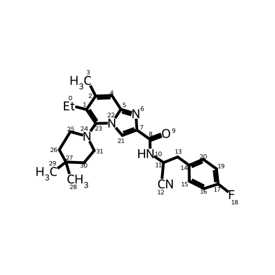 CCc1c(C)cc2nc(C(=O)NC(C#N)Cc3ccc(F)cc3)cn2c1N1CCC(C)(C)CC1